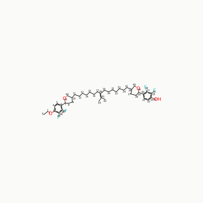 CCOc1ccc(C2CCC(CCCCCCCC(CCCCCCCC3CCC(c4ccc(O)c(F)c4F)OC3)=C(C)C)CO2)c(F)c1F